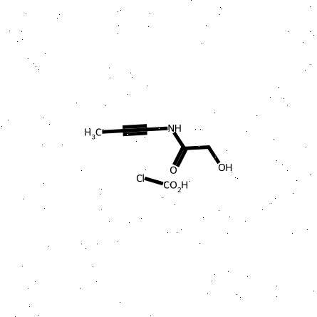 CC#CNC(=O)CO.O=C(O)Cl